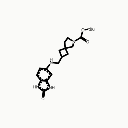 CC(C)(C)OC(=O)N1CCC2(CC(CNc3ccc4[nH]c(=O)[nH]c4c3)C2)C1